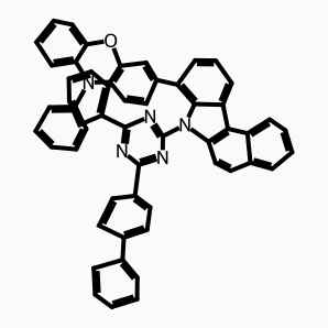 c1ccc(-c2ccc(-c3nc(-c4ccccc4)nc(-n4c5ccc6ccccc6c5c5cccc(-c6ccc7c(c6)Oc6ccccc6N7c6ccccc6)c54)n3)cc2)cc1